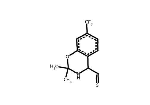 CC1(C)NC(C=S)c2ccc(C(F)(F)F)cc2O1